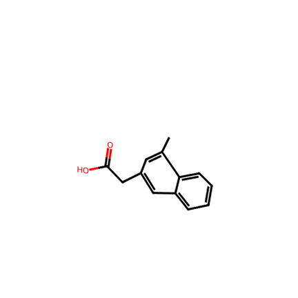 Cc1cc(CC(=O)O)cc2ccccc12